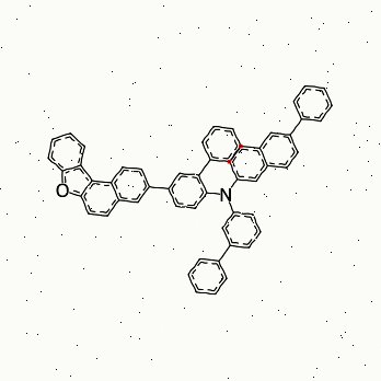 c1ccc(-c2cccc(N(c3ccc4cc(-c5ccccc5)ccc4c3)c3ccc(-c4ccc5c(ccc6oc7ccccc7c65)c4)cc3-c3ccccc3)c2)cc1